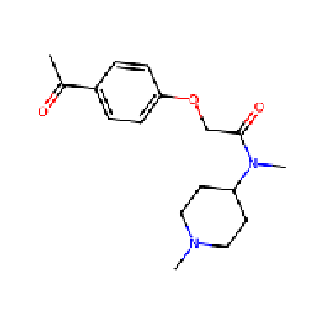 CC(=O)c1ccc(OCC(=O)N(C)C2CCN(C)CC2)cc1